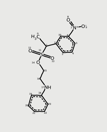 CC(c1cccc([N+](=O)[O-])c1)S(=O)(=O)OCCNc1ccccc1